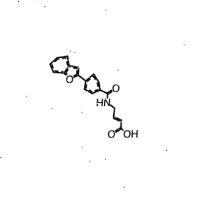 O=C(O)C=CCNC(=O)c1ccc(-c2cc3ccccc3o2)cc1